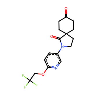 O=C1CCC2(CC1)CCN(c1ccc(OCC(F)(F)F)nc1)C2=O